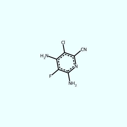 N#Cc1nc(N)c(F)c(N)c1Cl